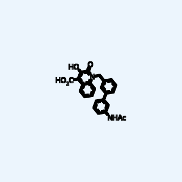 CC(=O)Nc1cccc(-c2cccc(Cn3c(=O)c(O)c(C(=O)O)c4ccccc43)c2)c1